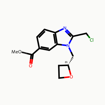 COC(=O)c1ccc2nc(CCl)n(C[C@H]3CCO3)c2c1